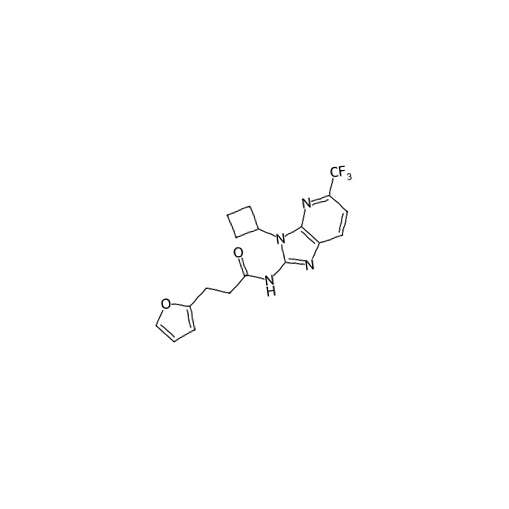 O=C(CCc1ccco1)Nc1nc2ccc(C(F)(F)F)nc2n1C1CCC1